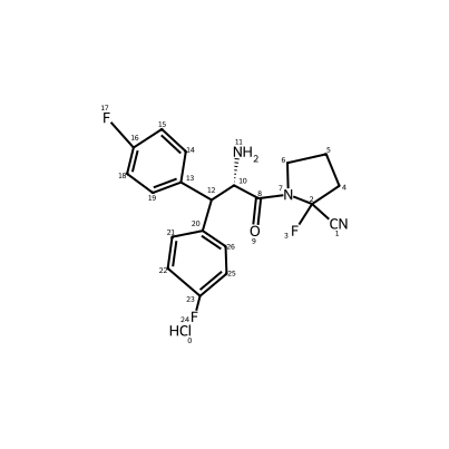 Cl.N#CC1(F)CCCN1C(=O)[C@@H](N)C(c1ccc(F)cc1)c1ccc(F)cc1